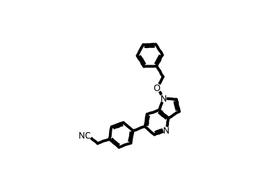 N#CCc1ccc(-c2cnc3ccn(OCc4ccccc4)c3c2)cc1